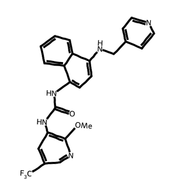 COc1ncc(C(F)(F)F)cc1NC(=O)Nc1ccc(NCc2ccncc2)c2ccccc12